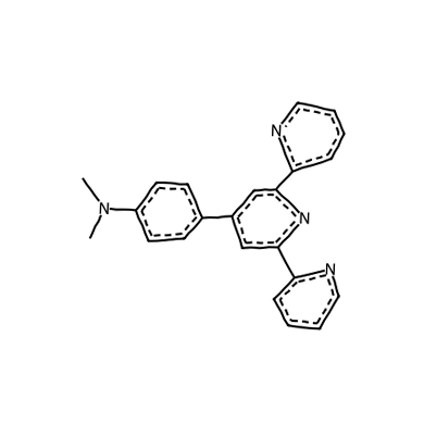 CN(C)c1ccc(-c2cc(-c3ccccn3)nc(-c3ccccn3)c2)cc1